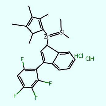 CC1=C(C)C(C)[C]([Zr]([CH]2C=C(c3c(F)cc(F)c(F)c3F)c3ccccc32)=[Si](C)C)=C1C.Cl.Cl